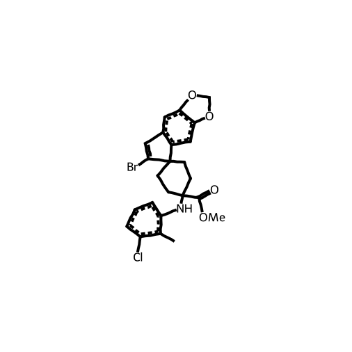 COC(=O)C1(Nc2cccc(Cl)c2C)CCC2(CC1)C(Br)=Cc1cc3c(cc12)OCO3